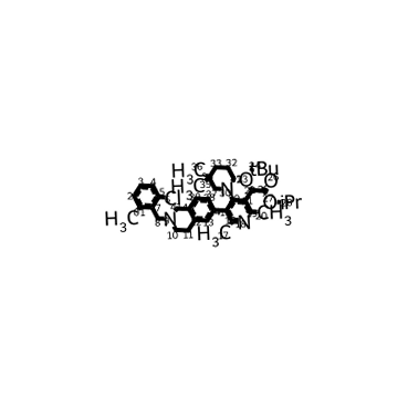 Cc1cccc(Cl)c1CN1CCc2cc(-c3c(C)nc(C)c(C(OC(C)(C)C)C(=O)OC(C)C)c3N3CCCC(C)(C)C3)ccc2C1